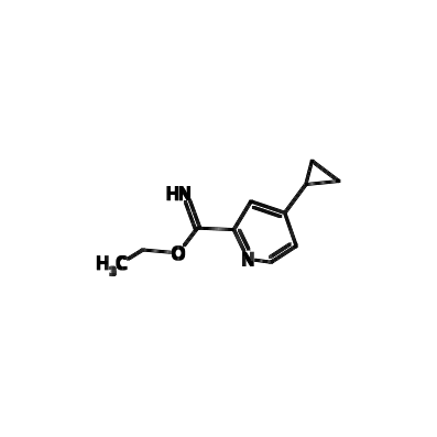 CCOC(=N)c1cc(C2CC2)ccn1